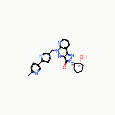 Cc1ccc(-c2ccc(Cn3nc4c(=O)n([C@@H]5CCCC[C@H]5O)nc-4c4cccnc43)cn2)cn1